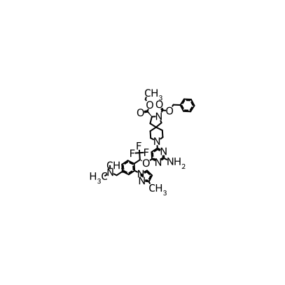 CCOC(=O)[C@@H]1CC2(CCN(c3cc(O[C@H](c4ccc(CN(C)C)cc4-n4ccc(C)n4)C(F)(F)F)nc(N)n3)CC2)CN1C(=O)OCc1ccccc1